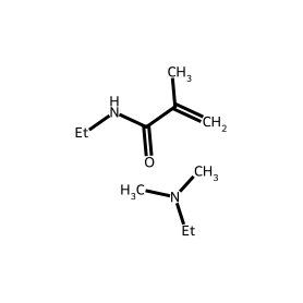 C=C(C)C(=O)NCC.CCN(C)C